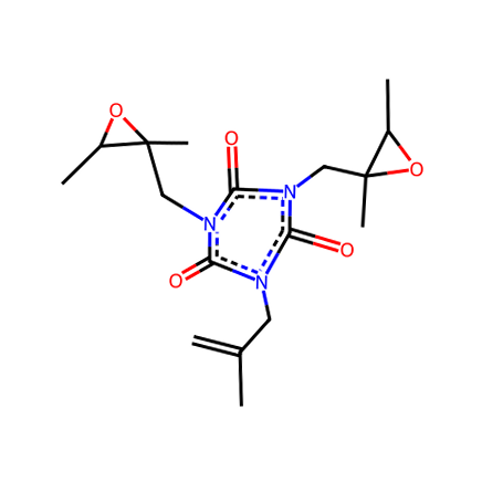 C=C(C)Cn1c(=O)n(CC2(C)OC2C)c(=O)n(CC2(C)OC2C)c1=O